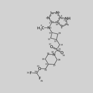 CN(c1ncnc2[nH]ccc12)C1CC(CS(=O)(=O)N2CCC(COC(F)F)CC2)C1